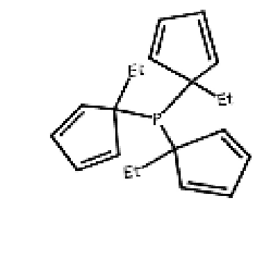 CCC1(P(C2(CC)C=CC=C2)C2(CC)C=CC=C2)C=CC=C1